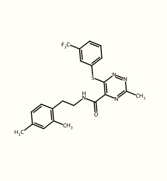 Cc1ccc(CCNC(=O)c2nc(C)nnc2Sc2cccc(C(F)(F)F)c2)c(C)c1